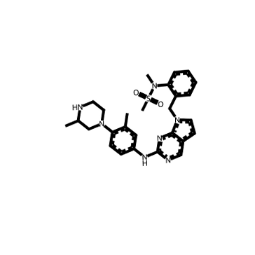 Cc1cc(Nc2ncc3ccn(Cc4ccccc4N(C)S(C)(=O)=O)c3n2)ccc1N1CCNC(C)C1